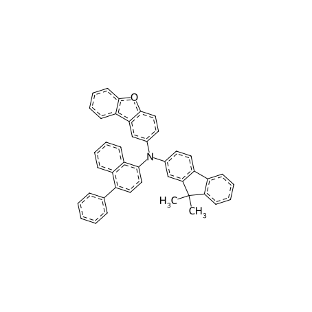 CC1(C)c2ccccc2-c2ccc(N(c3ccc4oc5ccccc5c4c3)c3ccc(-c4ccccc4)c4ccccc34)cc21